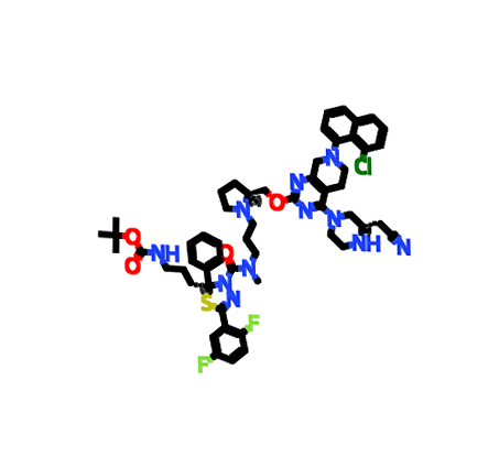 CN(CCCN1CCC[C@H]1COc1nc2c(c(N3CCN[C@@H](CC#N)C3)n1)CCN(c1cccc3cccc(Cl)c13)C2)C(=O)N1N=C(c2cc(F)ccc2F)S[C@@]1(CCCNC(=O)OC(C)(C)C)c1ccccc1